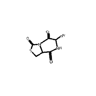 CCCC1NC(=O)C2CSC(=O)N2C1=O